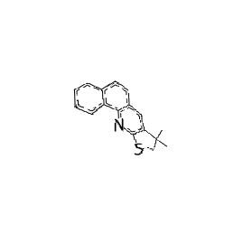 CC1(C)CSc2nc3c(ccc4ccccc43)cc21